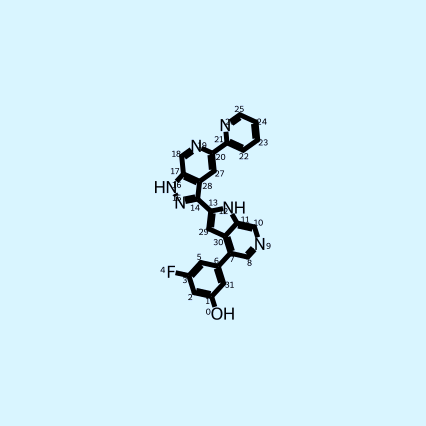 Oc1cc(F)cc(-c2cncc3[nH]c(-c4n[nH]c5cnc(-c6ccccn6)cc45)cc23)c1